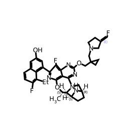 CCc1c(F)ccc2cc(O)cc(-c3nc4c5c(nc(OCC6(CN7CC/C(=C\F)C7)CC6)nc5c3F)N3C[C@H]5CC[C@H](N5)[C@H]3[C@H](C)O4)c12